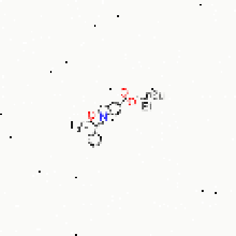 CCCCC(CC)COC(=O)c1ccc2c(c1)CCN2/C=C(\C(=O)C(F)(F)F)c1ccccc1